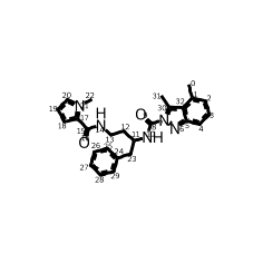 Cc1cccc2nn(C(=O)NC(CCNC(=O)c3cccn3C)Cc3ccccc3)c(C)c12